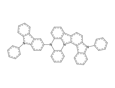 c1ccc(-n2c3ccccc3c3cc(N4c5ccccc5-n5c6c4cccc6c4ccc6c(c7ccccc7n6-c6ccccc6)c45)ccc32)cc1